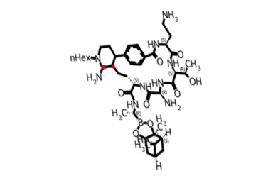 CCCCCCN1CCC(c2ccc(C(=O)N[C@@H](CCN)C(=O)N[C@H](C(=O)N[C@@H](N)C(=O)N[C@@H](CCCCN)C(=O)N[C@@H](C)B3OC4C[C@@H]5C[C@@H](C5(C)C)[C@]4(C)O3)[C@@H](C)O)cc2)CC1